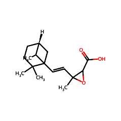 CC1[C@@H]2CCC(C)(C)C1(/C=C/C1(C)OC1C(=O)O)C2